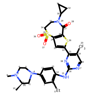 CCc1cc(N2CCN(C)[C@H](C)C2)ccc1Nc1ncc(C(F)(F)F)c(-c2cc3c(s2)C(=O)N(C2CC2)CCS3(=O)=O)n1